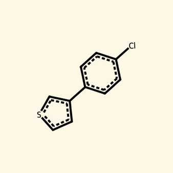 Clc1ccc(-c2ccsc2)cc1